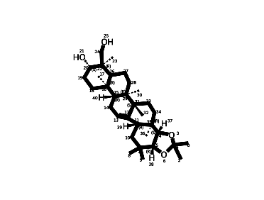 CC1(C)O[C@@H]2[C@H](O1)C(C)(C)C[C@@H]1C3=CC[C@@H]4[C@@]5(C)CC[C@H](O)[C@@](C)(CO)C5CC[C@@]4(C)[C@]3(C)CC[C@]12C